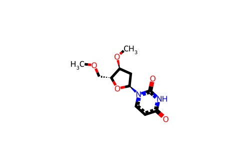 COC[C@H]1O[C@H](n2ccc(=O)[nH]c2=O)C[C@@H]1OC